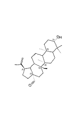 C=C(C)[C@@H]1CC[C@]2(C=O)CC[C@]3(C)C(CCC4[C@@]5(C)CC[C@H](O)C(C)(C)C5CC[C@]43C)C12